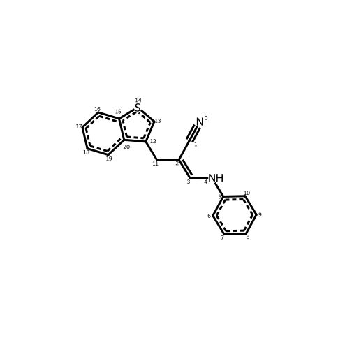 N#CC(=CNc1ccccc1)Cc1csc2ccccc12